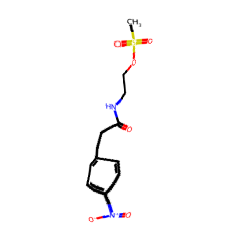 CS(=O)(=O)OCCNC(=O)Cc1ccc([N+](=O)[O-])cc1